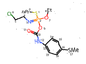 CCCSP(=NCCCl)(OCC)OC(=O)Nc1ccc(SC)cc1